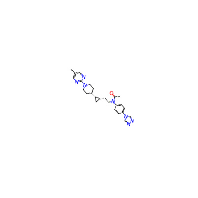 CC(=O)N(CC[C@@H]1C[C@@H]1C1CCN(c2ncc(C)cn2)CC1)c1ccc(-n2cnnc2)cc1